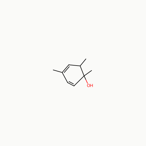 CC1=CC(C)C(C)(O)C=C1